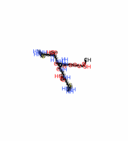 C#CCOC(O)CCOCCOCCOCCNC(=O)Nc1cc(C(=O)NCCCCC(NC(=O)CCCCC2SCC3NC(=N)NC32)C(=O)O)cc(C(=O)NCCCCC(NC(=O)CCCCC2SCC3NC(=N)NC32)C(=O)O)c1